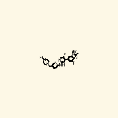 CCN1CCN(Cc2ccc(Nc3cc(-c4cc(F)c5nc(C)n(C(C)C)c5c4)c(F)cn3)nc2)CC1